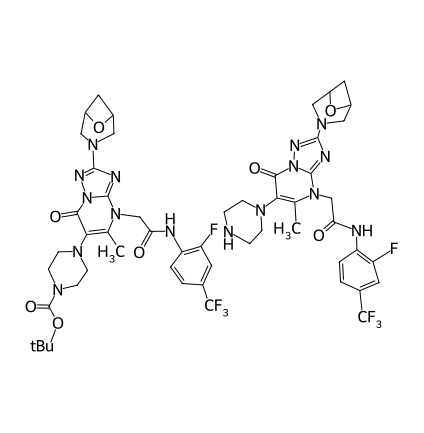 Cc1c(N2CCN(C(=O)OC(C)(C)C)CC2)c(=O)n2nc(N3CC4CC(C3)O4)nc2n1CC(=O)Nc1ccc(C(F)(F)F)cc1F.Cc1c(N2CCNCC2)c(=O)n2nc(N3CC4CC(C3)O4)nc2n1CC(=O)Nc1ccc(C(F)(F)F)cc1F